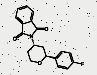 O=C1c2ccccc2C(=O)N1[C@H]1CCO[C@H](c2ccc(F)cc2)C1